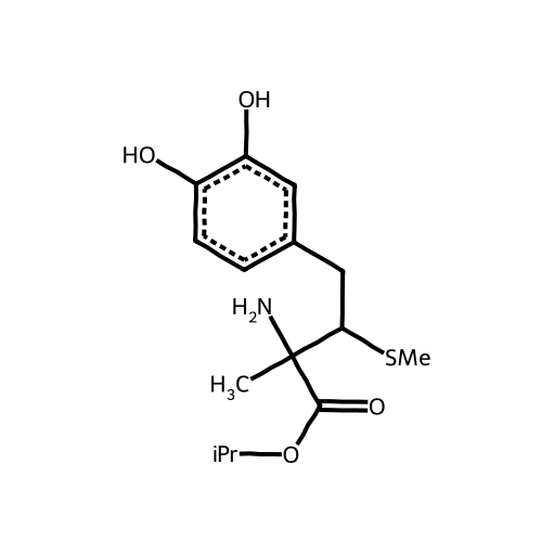 CSC(Cc1ccc(O)c(O)c1)C(C)(N)C(=O)OC(C)C